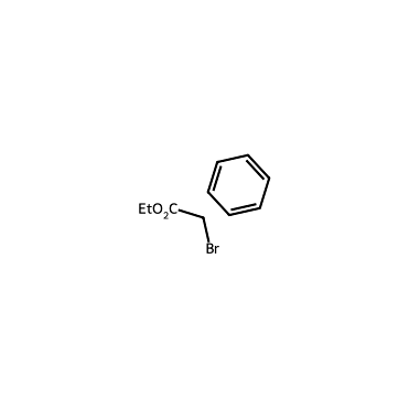 CCOC(=O)CBr.c1ccccc1